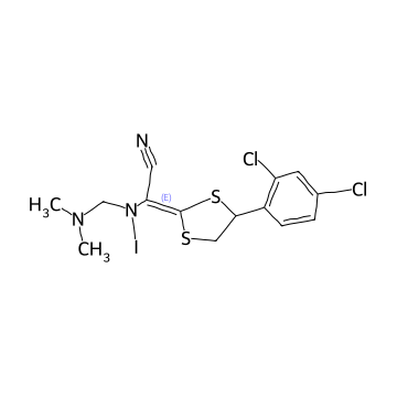 CN(C)CN(I)/C(C#N)=C1\SCC(c2ccc(Cl)cc2Cl)S1